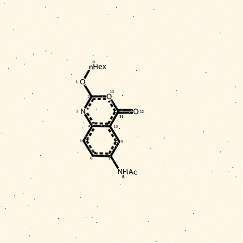 CCCCCCOc1nc2ccc(NC(C)=O)cc2c(=O)o1